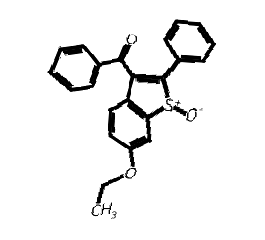 CCOc1ccc2c(C(=O)c3ccccc3)c(-c3ccccc3)[s+]([O-])c2c1